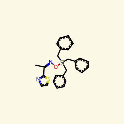 CC(=NO[Si](Cc1ccccc1)(Cc1ccccc1)Cc1ccccc1)c1nccs1